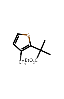 CCOC(=O)C(C)(C)c1sccc1C(F)(F)F